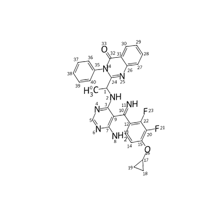 CC(Nc1ncnc(N)c1C(=N)c1ccc(OC2CC2)c(F)c1F)c1nc2ccccc2c(=O)n1-c1ccccc1